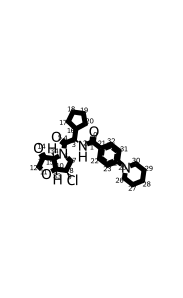 O=C(N[C@H](C(=O)N1C[C@H](Cl)[C@H]2OCC(=O)[C@H]21)C1CCCC1)c1ccc(N2CCCCC2)cc1